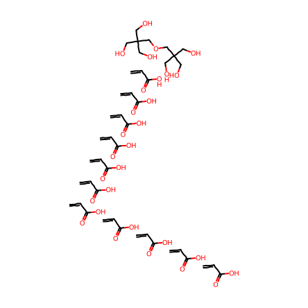 C=CC(=O)O.C=CC(=O)O.C=CC(=O)O.C=CC(=O)O.C=CC(=O)O.C=CC(=O)O.C=CC(=O)O.C=CC(=O)O.C=CC(=O)O.C=CC(=O)O.C=CC(=O)O.OCC(CO)(CO)COCC(CO)(CO)CO